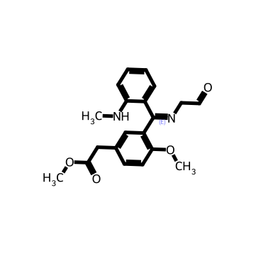 CNc1ccccc1/C(=N\CC=O)c1cc(CC(=O)OC)ccc1OC